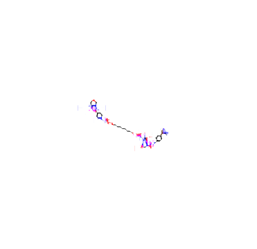 Cc1ncsc1-c1ccc(CNC(=O)C2CC(O)CN2C(=O)[C@@H](NC(=O)COCCCCCCCCCOCC(=O)Nc2ccc(C(=O)Nc3ccc(F)cc3N)cc2)C(C)(C)C)cc1